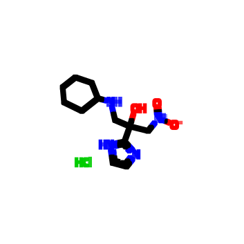 Cl.O=[N+]([O-])CC(O)(CNC1CCCCC1)c1ncc[nH]1